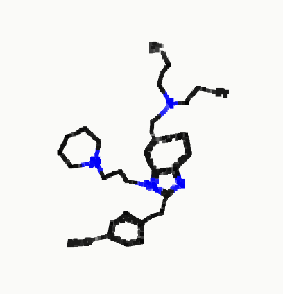 COc1ccc(Cc2nc3ccc(CN(CCC(C)C)CCC(C)C)cc3n2CCCN2CCCCC2)cc1